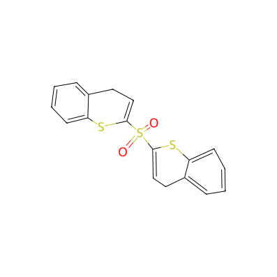 O=S(=O)(C1=CCc2ccccc2S1)C1=CCc2ccccc2S1